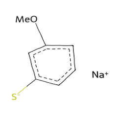 COc1cccc([S-])c1.[Na+]